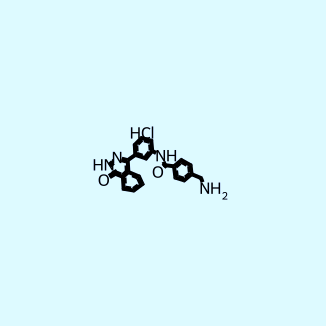 Cl.NCc1ccc(C(=O)Nc2cccc(-c3n[nH]c(=O)c4ccccc34)c2)cc1